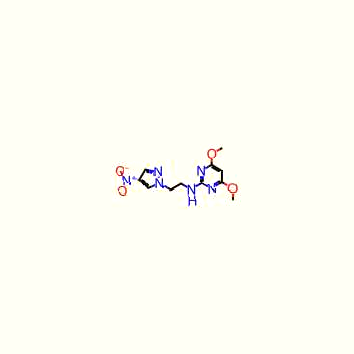 COc1cc(OC)nc(NCCn2cc([N+](=O)[O-])cn2)n1